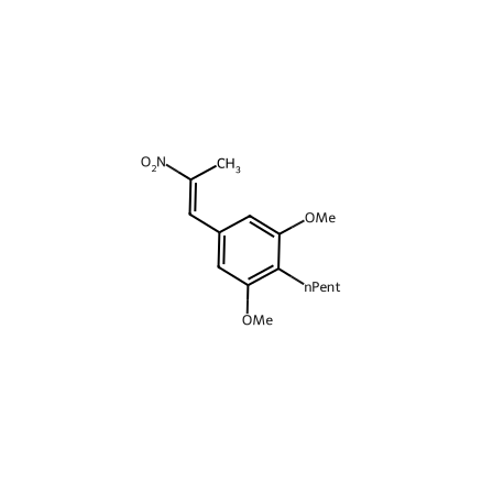 CCCCCc1c(OC)cc(C=C(C)[N+](=O)[O-])cc1OC